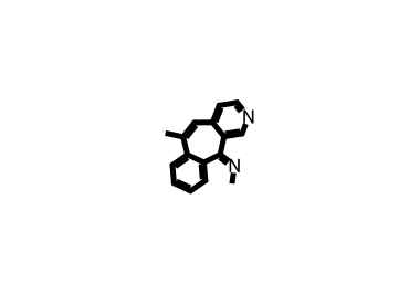 CN=c1c2cnccc2cc(C)c2ccccc12